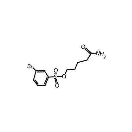 NC(=O)CCCCOS(=O)(=O)c1cccc(Br)c1